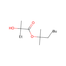 CCC(C)CC(C)(C)OC(=O)C(C)(O)CC